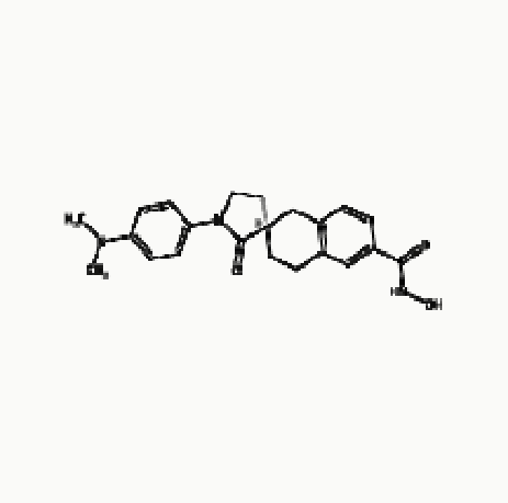 CN(C)c1ccc(N2CC[C@]3(CCc4cc(C(=O)NO)ccc4C3)C2=O)cc1